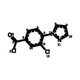 O=C(Cl)c1ccc(-n2cccn2)c(Cl)c1